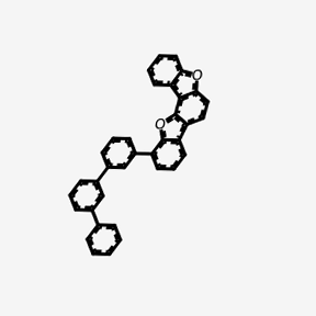 c1ccc(-c2cccc(-c3cccc(-c4cccc5c4oc4c5ccc5oc6ccccc6c54)c3)c2)cc1